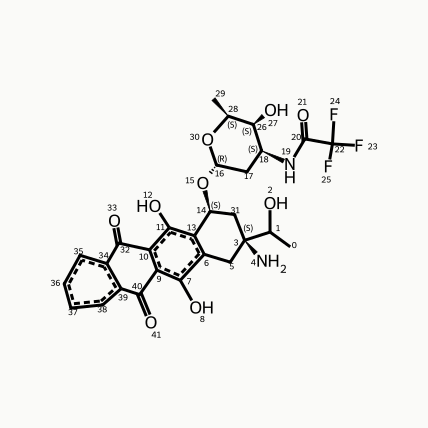 CC(O)[C@]1(N)Cc2c(O)c3c(c(O)c2[C@@H](O[C@H]2C[C@H](NC(=O)C(F)(F)F)[C@H](O)[C@H](C)O2)C1)C(=O)c1ccccc1C3=O